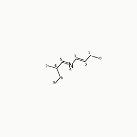 CC/C=C/N=CC(C)CC